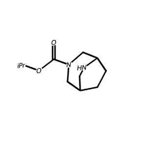 CC(C)OC(=O)N1CC2CCC(C1)NC2